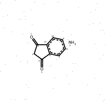 N.O=C1CC(=O)c2ccccc21